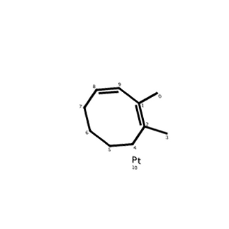 CC1=C(C)CCCCC=C1.[Pt]